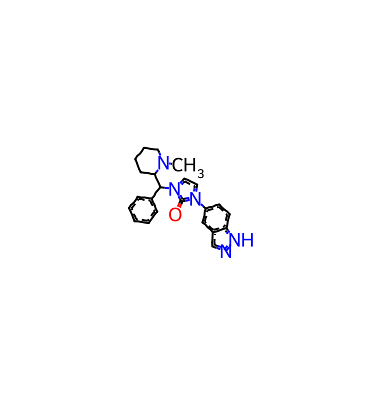 CN1CCCCC1C(c1ccccc1)n1ccn(-c2ccc3[nH]ncc3c2)c1=O